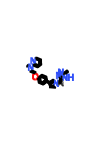 Cc1nnc([C@H](C)n2ccc(-c3ccc(OCCN(C)c4ccccn4)cc3)c2)[nH]1